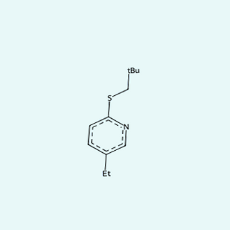 CCc1ccc(SCC(C)(C)C)nc1